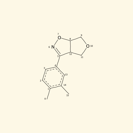 Cc1ccc(C2=NOC3COCC23)cc1C